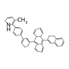 CC1=C(c2ccc(C3=CCCC(C4=c5ccccc5=C(C5=Cc6ccccc6CC5)C5C=CC=CC45)=C3)cc2)NCC=C1